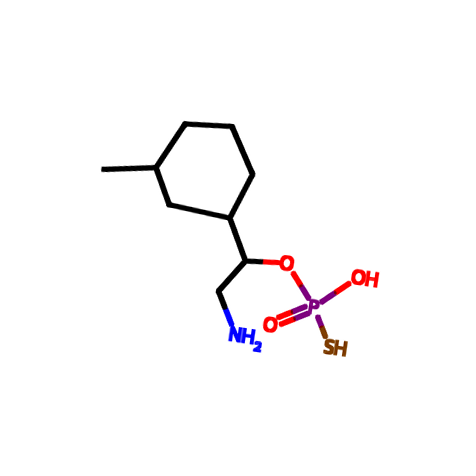 CC1CCCC(C(CN)OP(=O)(O)S)C1